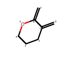 C=C1CCCOC1=C